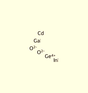 [Cd].[Ga].[Ge+4].[In].[O-2].[O-2]